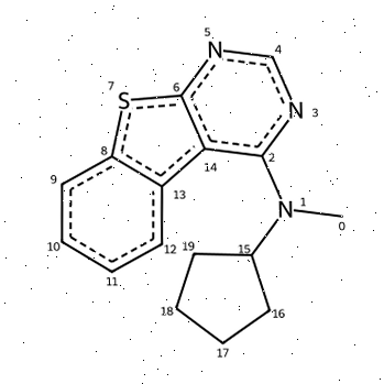 CN(c1ncnc2sc3ccccc3c12)C1CCCC1